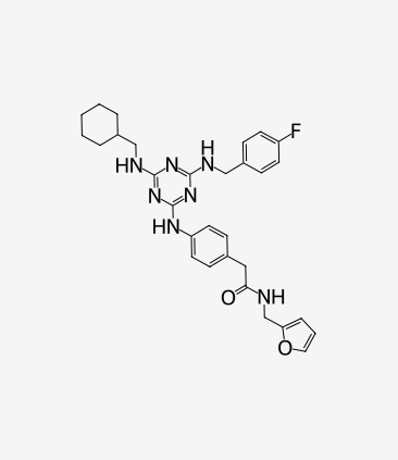 O=C(Cc1ccc(Nc2nc(NCc3ccc(F)cc3)nc(NCC3CCCCC3)n2)cc1)NCc1ccco1